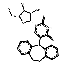 O=c1[nH]c(=S)c(C2c3ccccc3CCc3ccccc32)cn1[C@@H]1O[C@H](CO)[C@@H](O)[C@H]1O